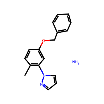 Cc1ccc(OCc2ccccc2)cc1-n1cccn1.N